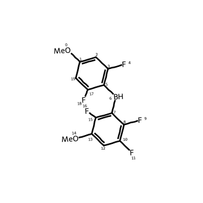 COc1cc(F)c(Bc2c(F)c(F)cc(OC)c2F)c(F)c1